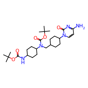 CC(C)(C)OC(=O)NC1CCC(N(CC2CCC(n3ccc(N)nc3=O)CC2)C(=O)OC(C)(C)C)CC1